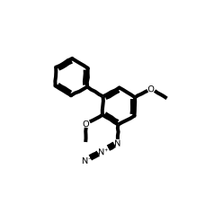 COc1cc(N=[N+]=[N-])c(OC)c(-c2ccccc2)c1